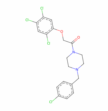 O=C(COc1cc(Cl)c(Cl)cc1Cl)N1CCN(Cc2ccc(Cl)cc2)CC1